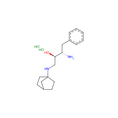 Cl.Cl.N[C@@H](Cc1ccccc1)[C@H](O)CNC12CCC(CC1)C2